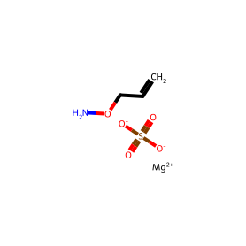 C=CCON.O=S(=O)([O-])[O-].[Mg+2]